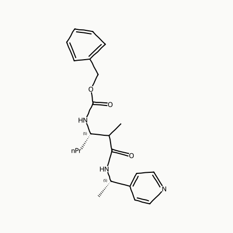 CCC[C@H](NC(=O)OCc1ccccc1)C(C)C(=O)N[C@@H](C)c1ccncc1